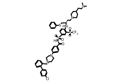 CN(C)CCC1CCN(CC[C@H](CSc2ccccc2)Nc2ccc(S(=O)(=O)NC(=O)c3ccc(N4CCN(Cc5ccccc5-c5ccc(Cl)cc5)CC4)cc3)cc2S(=O)(=O)C(F)(F)F)CC1